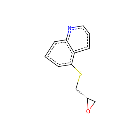 c1cc(SC[C@@H]2CO2)c2cccnc2c1